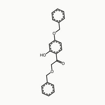 O=C(COCc1ccccc1)c1ccc(OCc2ccccc2)cc1O